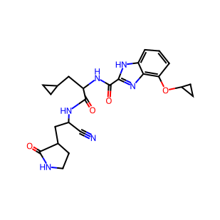 N#CC(CC1CCNC1=O)NC(=O)C(CC1CC1)NC(=O)c1nc2c(OC3CC3)cccc2[nH]1